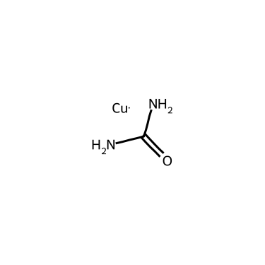 NC(N)=O.[Cu]